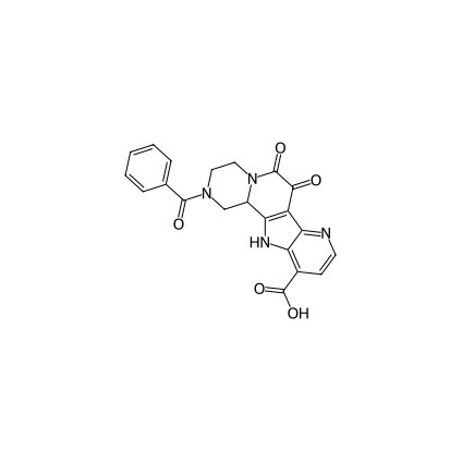 O=C1C(=O)N2CCN(C(=O)c3ccccc3)CC2c2[nH]c3c(C(=O)O)ccnc3c21